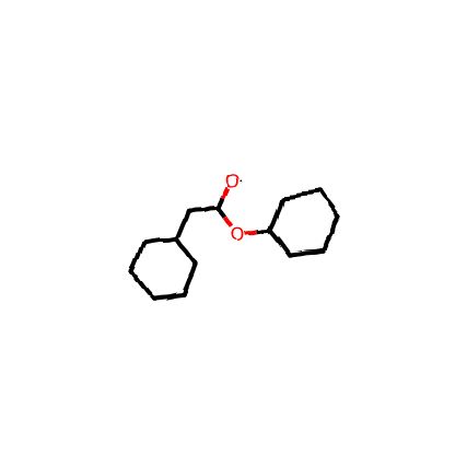 [O]C(CC1CCCCC1)OC1CCCCC1